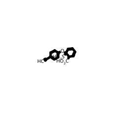 C#Cc1ccc(OC2(S(=O)(=O)O)C=CC=CC2C(=O)O)cc1